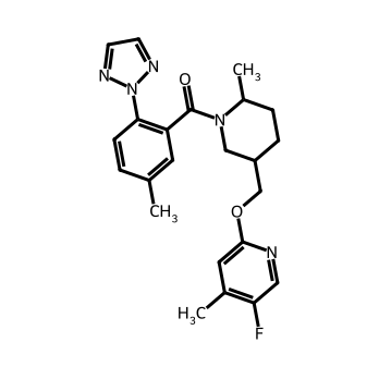 Cc1ccc(-n2nccn2)c(C(=O)N2CC(COc3cc(C)c(F)cn3)CCC2C)c1